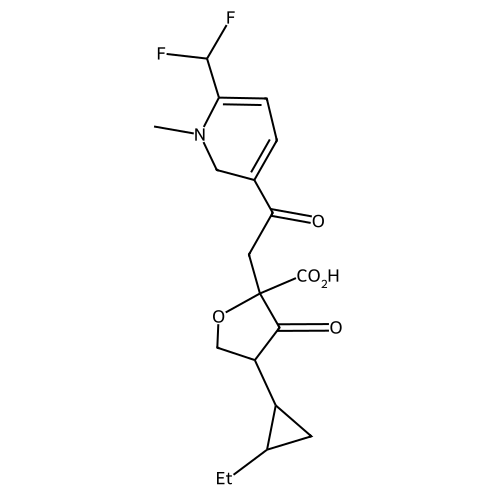 CCC1CC1C1COC(CC(=O)C2=CC=C(C(F)F)N(C)C2)(C(=O)O)C1=O